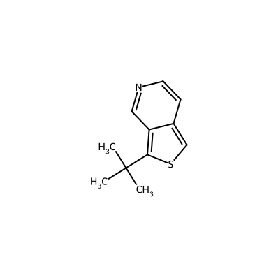 CC(C)(C)c1scc2ccncc12